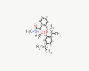 CNC(=O)C(OC)c1ccccc1COc1cc(C(C)C)ccc1C(C)C